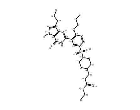 CCCOc1ccc(S(=O)(=O)N2CCC(CCC(=O)OCC)CC2)cc1-c1nc2c(CCC)cn(C)c2c(=O)[nH]1